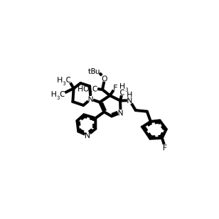 CC1(C)CCN(C2=C(c3cccnc3)C=NC(C)(NCCc3ccc(F)cc3)C2(F)C(OC(C)(C)C)C(=O)O)CC1